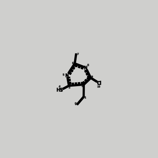 [CH2]Cc1c(S)nc(C)nc1Cl